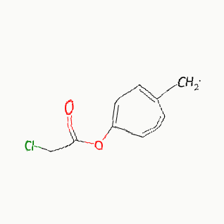 [CH2]c1ccc(OC(=O)CCl)cc1